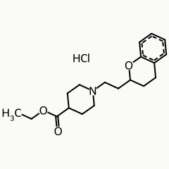 CCOC(=O)C1CCN(CCC2CCc3ccccc3O2)CC1.Cl